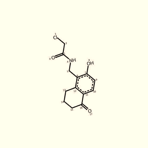 O=C(CCl)NCc1c(O)ccc2c1CCCC2=O